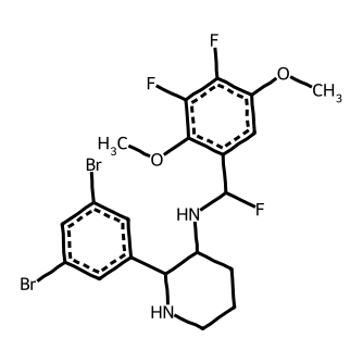 COc1cc(C(F)NC2CCCNC2c2cc(Br)cc(Br)c2)c(OC)c(F)c1F